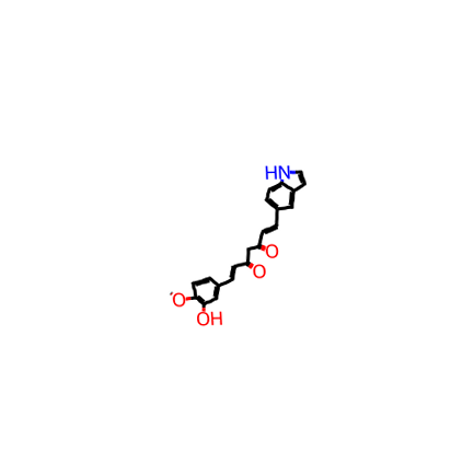 COc1ccc(C=CC(=O)CC(=O)C=Cc2ccc3[nH]ccc3c2)cc1O